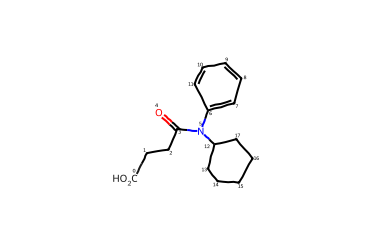 O=C(O)CCC(=O)N(c1ccccc1)C1CCCCC1